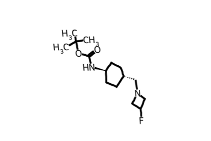 CC(C)(C)OC(=O)N[C@H]1CC[C@H](CN2CC(F)C2)CC1